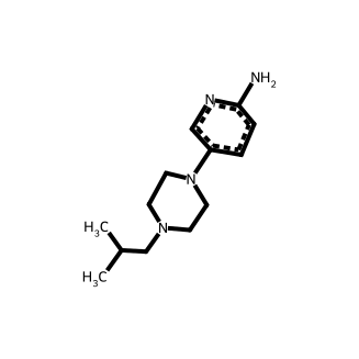 CC(C)CN1CCN(c2ccc(N)nc2)CC1